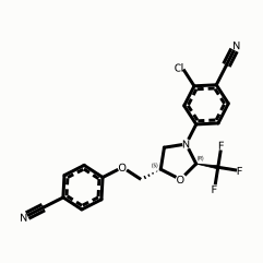 N#Cc1ccc(OC[C@@H]2CN(c3ccc(C#N)c(Cl)c3)[C@@H](C(F)(F)F)O2)cc1